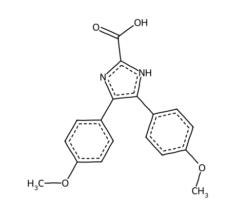 COc1ccc(-c2nc(C(=O)O)[nH]c2-c2ccc(OC)cc2)cc1